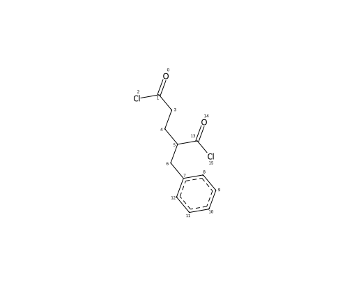 O=C(Cl)CCC(Cc1ccccc1)C(=O)Cl